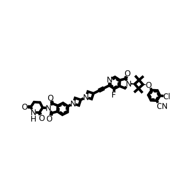 CC1(C)[C@H](Oc2ccc(C#N)c(Cl)c2)C(C)(C)[C@H]1N1Cc2c(cnc(C#CC3CN(C4CN(c5ccc6c(c5)C(=O)N(C5CCC(=O)NC5=O)C6=O)C4)C3)c2F)C1=O